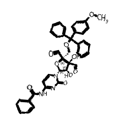 COc1ccc(C(OC[C@@]2(C=O)O[C@@H](n3ccc(NC(=O)c4ccccc4)nc3=O)[C@H](O)[C@@]2(O)C=O)(c2ccccc2)c2ccccc2)cc1